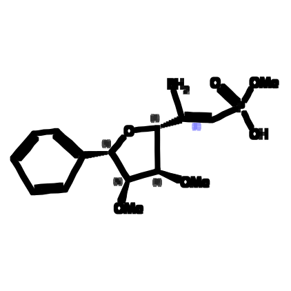 B/C(=C\P(=O)(O)OC)[C@H]1O[C@@H](c2ccccc2)[C@H](OC)[C@@H]1OC